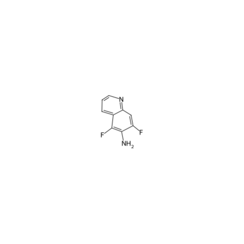 Nc1c(F)cc2ncccc2c1F